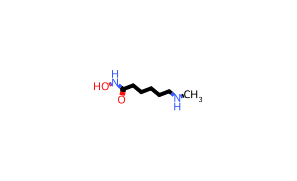 CNCCCCCC(=O)NO